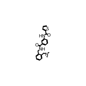 CN(C)Cc1ccccc1CNC(=O)c1cccc(NC(=O)c2cccs2)c1